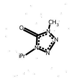 CC(C)n1nnn(C)c1=O